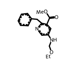 CCOCNc1cnc(Cc2ccccc2)c(C(=O)OC)c1